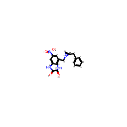 O=c1[nH]c2cc([N+](=O)[O-])cc(CN3C=C3Cc3ccccc3)c2[nH]c1=O